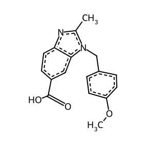 COc1ccc(Cn2c(C)nc3ccc(C(=O)O)cc32)cc1